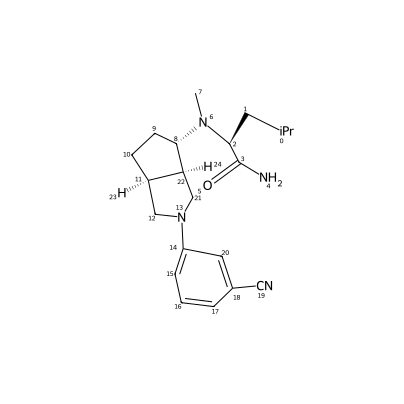 CC(C)C[C@@H](C(N)=O)N(C)[C@H]1CC[C@@H]2CN(c3cccc(C#N)c3)C[C@@H]21